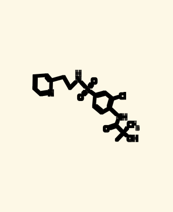 C[C@@](O)(C(=O)Nc1ccc(S(=O)(=O)NCCc2ccccn2)cc1Cl)C(F)(F)F